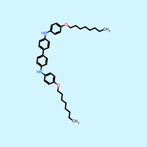 CCCCCCCCOc1ccc(Nc2ccc(-c3ccc(Nc4ccc(OCCCCCCCC)cc4)cc3)cc2)cc1